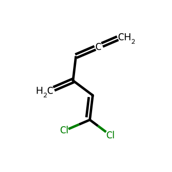 C=C=CC(=C)C=C(Cl)Cl